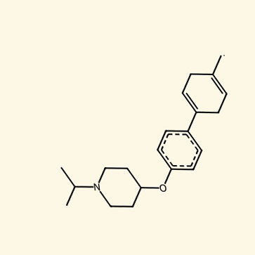 [CH2]C1=CCC(c2ccc(OC3CCN(C(C)C)CC3)cc2)=CC1